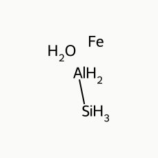 O.[AlH2][SiH3].[Fe]